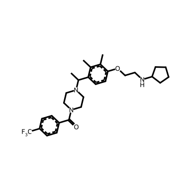 Cc1c(OCCNC2CCCC2)ccc(C(C)N2CCN(C(=O)c3ccc(C(F)(F)F)cc3)CC2)c1C